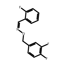 Fc1ccc(CO/N=[C]\c2ccccc2F)cc1F